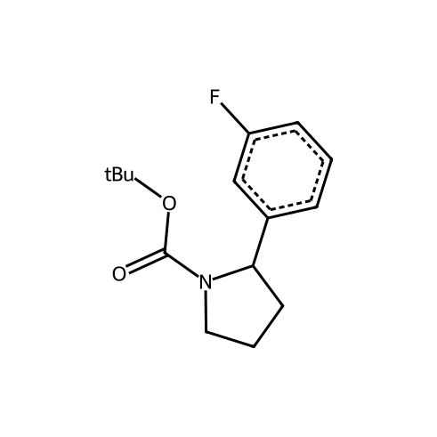 CC(C)(C)OC(=O)N1CCCC1c1cccc(F)c1